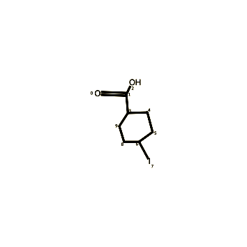 O=C(O)C1CCC(I)CC1